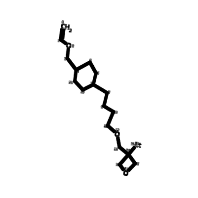 C=COCC1CCC(CCCCOCC2(CC)COC2)CC1